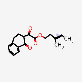 C/C=C(\C)CCOC(=O)C(=O)C1CCc2ccccc2C1=O